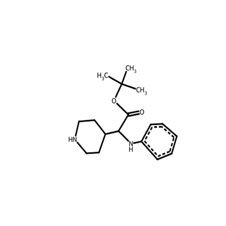 CC(C)(C)OC(=O)C(Nc1ccccc1)C1CCNCC1